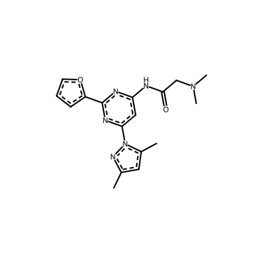 Cc1cc(C)n(-c2cc(NC(=O)CN(C)C)nc(-c3ccco3)n2)n1